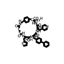 O=C1CCC(=O)N[C@H](Cc2cccs2)C(=O)N[C@@H](Cc2ccc(-c3ccccc3)cc2)C(=O)N[C@@H](Cc2ccncc2)C(=O)N[C@H](C(=O)O)Cc2ccc(cc2)N1